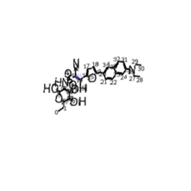 CC[C@H]1OC(O)[C@H](NS(=O)(=O)/C(C#N)=C(\C)c2ccc(-c3ccc4cc(N(CC)CC)ccc4c3)o2)[C@@H](O)[C@@H]1O